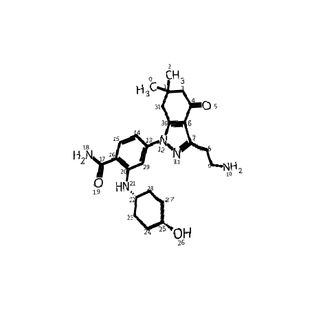 CC1(C)CC(=O)c2c(CCN)nn(-c3ccc(C(N)=O)c(N[C@H]4CC[C@H](O)CC4)c3)c2C1